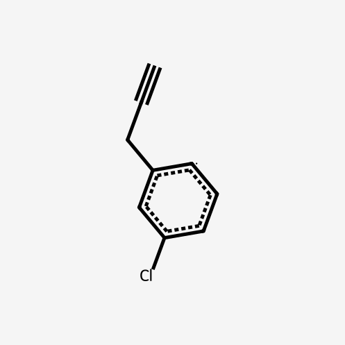 C#CCc1[c]ccc(Cl)c1